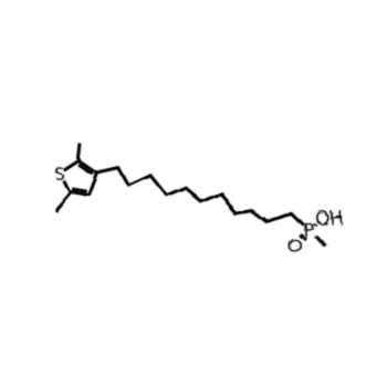 Cc1cc(CCCCCCCCCCCP(C)(=O)O)c(C)s1